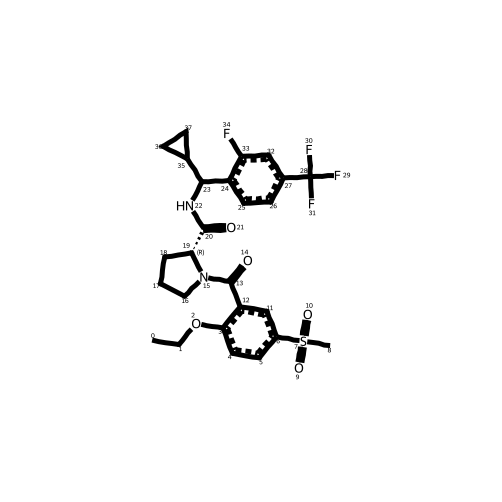 CCOc1ccc(S(C)(=O)=O)cc1C(=O)N1CCC[C@@H]1C(=O)NC(c1ccc(C(F)(F)F)cc1F)C1CC1